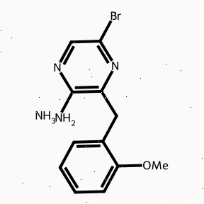 COc1ccccc1Cc1nc(Br)cnc1N.N